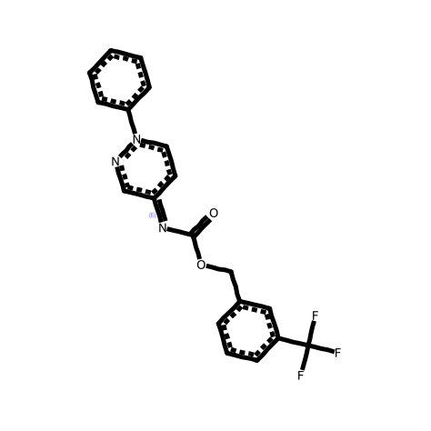 O=C(/N=c1\ccn(-c2ccccc2)nc1)OCc1cccc(C(F)(F)F)c1